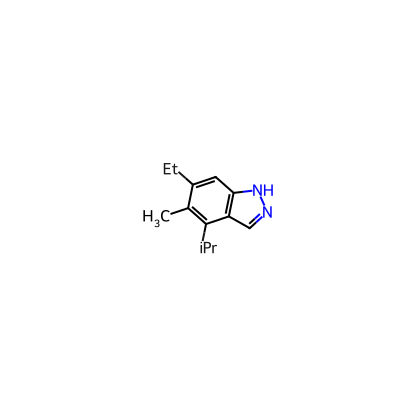 CCc1cc2[nH]ncc2c(C(C)C)c1C